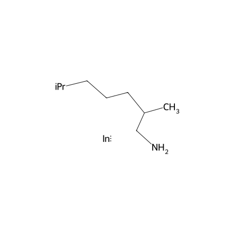 CC(C)CCCC(C)CN.[In]